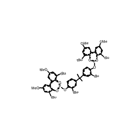 COc1cc(C(C)(C)C)c2op(Oc3ccc(C(C)(C)c4ccc(Op5oc6c(C(C)(C)C)cc(OC)cc6c6cc(OC)cc(C(C)(C)C)c6o5)c(C(C)(C)C)c4)cc3C(C)(C)C)oc3c(C(C)(C)C)cc(OC)cc3c2c1